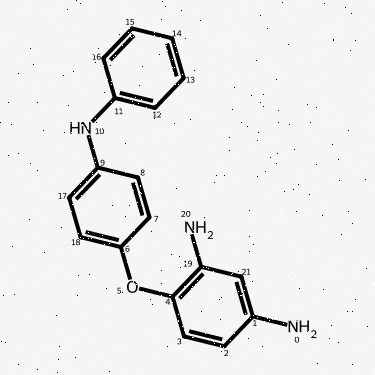 Nc1ccc(Oc2ccc(Nc3ccccc3)cc2)c(N)c1